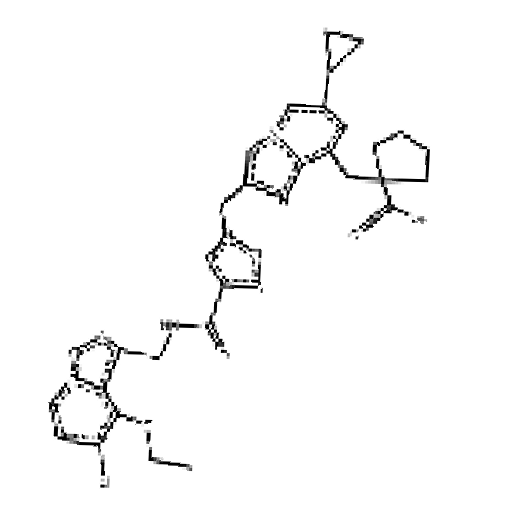 CCOc1c(Cl)ccn2cnc(CNC(=O)c3cn(Cc4cn5cc(C6CC6)cc(CC6(C(=O)O)CCCC6)c5n4)nn3)c12